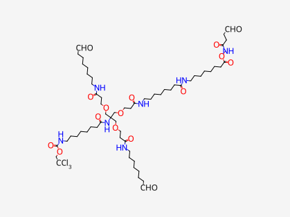 O=CCCCCCCCNC(=O)CCOCC(COCCC(=O)NCCCCCCCC=O)(COCCC(=O)NCCCCCCCC(=O)NCCCCCCCC(=O)ONC(=O)CCC=O)NC(=O)CCCCCCCNC(=O)OCC(Cl)(Cl)Cl